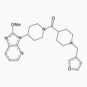 COc1nc2cccnc2n1C1CCN(C(=O)C2CCN(Cc3ccoc3)CC2)CC1